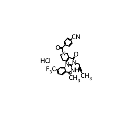 CC#CCn1c(N[C@@H](C)c2ccc(C(F)(F)F)cc2)nc2c(c1=O)CN(C(=O)c1ccc(C#N)cc1)CC2.Cl